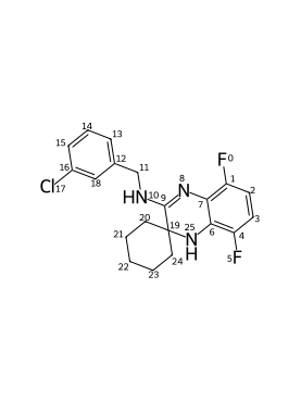 Fc1ccc(F)c2c1N=C(NCc1cccc(Cl)c1)C1(CCCCC1)N2